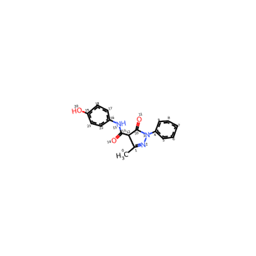 CC1=NN(c2ccccc2)C(=O)C1C(=O)Nc1ccc(O)cc1